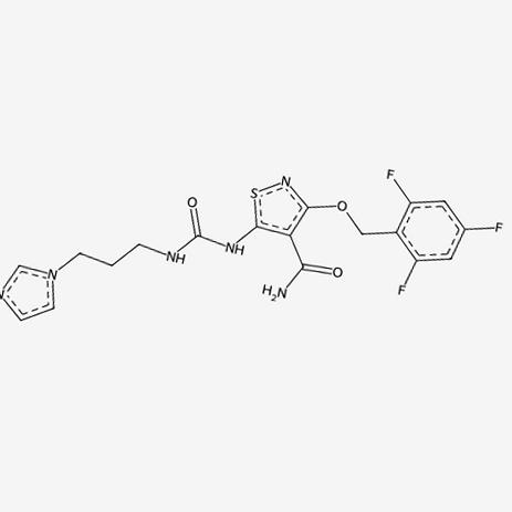 NC(=O)c1c(OCc2c(F)cc(F)cc2F)nsc1NC(=O)NCCCn1ccnc1